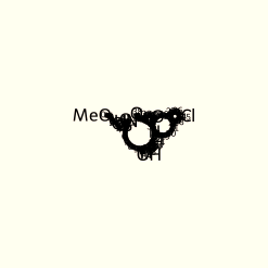 COCCOC[C@@H]1CCCCC(O)[C@@H]2CC[C@H]2CN2CCCCc3cc(Cl)ccc3COc3ccc(cc32)C(=O)NS1(=O)=O